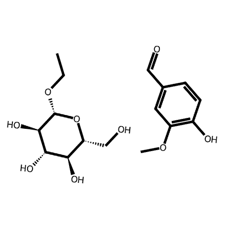 CCO[C@@H]1O[C@H](CO)[C@@H](O)[C@H](O)[C@H]1O.COc1cc(C=O)ccc1O